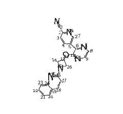 N#Cc1ccc(-c2nccnc2OC2CN(c3ccc4ccccc4n3)C2)cn1